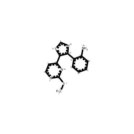 CSc1nccc(-c2scnc2-c2ccccc2N)n1